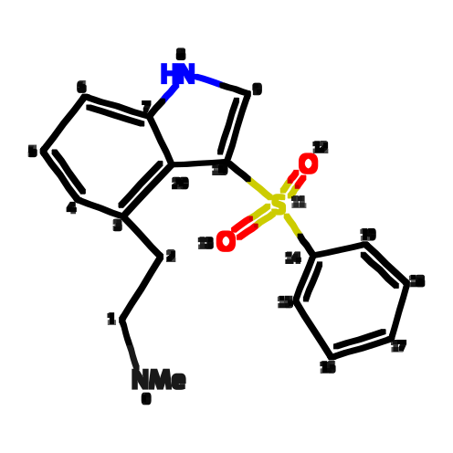 CNCCc1cccc2[nH]cc(S(=O)(=O)c3ccccc3)c12